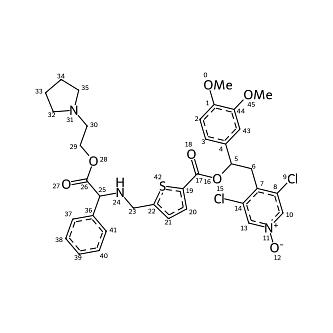 COc1ccc(C(Cc2c(Cl)c[n+]([O-])cc2Cl)OC(=O)c2ccc(CNC(C(=O)OCCN3CCCC3)c3ccccc3)s2)cc1OC